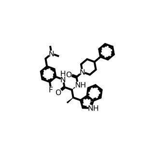 C[C@H](c1c[nH]c2ccccc12)[C@@H](NC(=O)N1CCC(c2ccccc2)CC1)C(=O)Nc1cc(CN(C)C)ccc1F